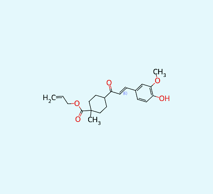 C=CCOC(=O)C1(C)CCC(C(=O)/C=C/c2ccc(O)c(OC)c2)CC1